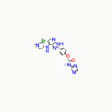 CN1CCC(Nc2c(Br)cnc3[nH]c(-c4ccc(OCC(=O)Nc5cnccn5)cc4)nc23)CC1